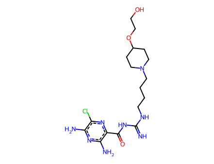 N=C(NCCCCN1CCC(OCCO)CC1)NC(=O)c1nc(Cl)c(N)nc1N